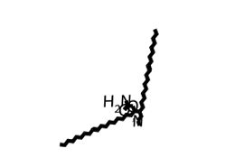 CCCCCCCCC=CCCCCCCCCC(CN(C)C)C(CCCCCCCCC=CCCCCCCCC)OC(N)=O